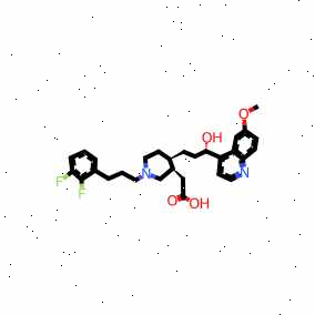 COc1ccc2nccc([C@@H](O)CC[C@@H]3CCN(CCCc4cccc(F)c4F)C[C@@H]3CC(=O)O)c2c1